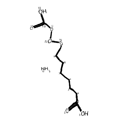 N.O=C(O)CCCCCCOOOC(=O)O